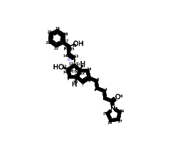 O=C(CCCCC1=C[C@H]2C[C@@H](O)[C@H](/C=C/[C@@H](O)c3ccccc3)[C@H]2C1)N1CCCC1